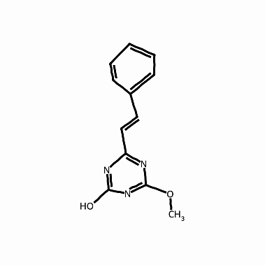 COc1nc(O)nc(/C=C/c2ccccc2)n1